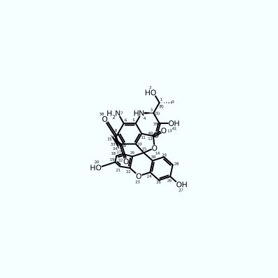 C[C@@H](O)[C@H](Nc1c(N)c2c(c3c1C(=O)OC31c3ccc(O)cc3Oc3cc(O)ccc31)C(=O)CCCCC2=O)C(=O)O